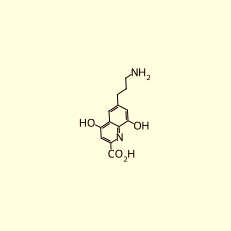 NCCCc1cc(O)c2nc(C(=O)O)cc(O)c2c1